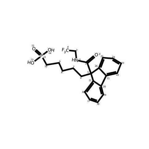 O=C(NCC(F)(F)F)C1(CCCCCP(=O)(O)O)c2ccccc2-c2ccccc21